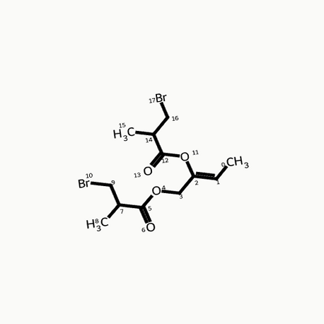 CC=C(COC(=O)C(C)CBr)OC(=O)C(C)CBr